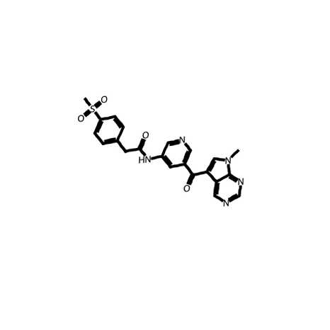 Cn1cc(C(=O)c2cncc(NC(=O)Cc3ccc(S(C)(=O)=O)cc3)c2)c2cncnc21